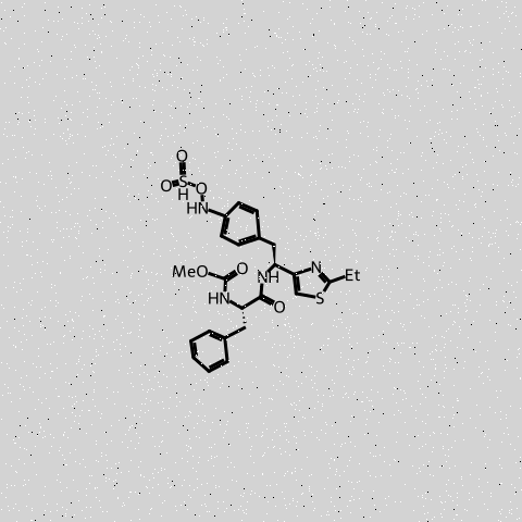 CCc1nc([C@H](Cc2ccc(NO[SH](=O)=O)cc2)NC(=O)[C@H](Cc2ccccc2)NC(=O)OC)cs1